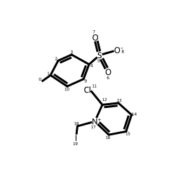 Cc1ccc(S(=O)(=O)[O-])cc1.Clc1cccc[n+]1CI